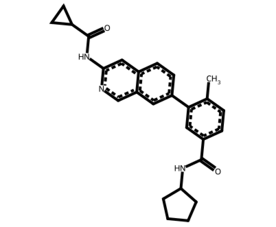 Cc1ccc(C(=O)NC2CCCC2)cc1-c1ccc2cc(NC(=O)C3CC3)ncc2c1